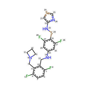 Fc1ccc(F)c(CN2CCC2)c1CNc1cc(F)c(SNc2cscn2)c(F)c1